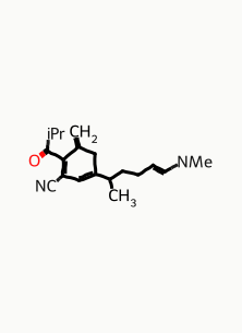 C=C1CC(C(C)CC/C=C/NC)=CC(C#N)=C1C(=O)C(C)C